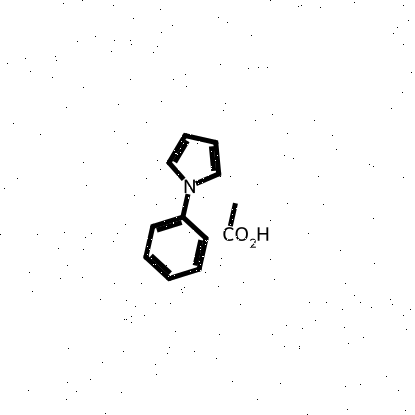 CC(=O)O.c1ccc(-n2cccc2)cc1